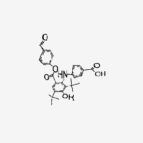 CC(C)(C)c1cc(C(=O)Oc2ccc(C=O)cc2)c(Nc2ccc(C(=O)O)cc2)c(C(C)(C)C)c1O